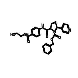 O=C(NCCO)c1ccc(NC(=O)C2CSC(c3ccncc3)N2C(=O)OCc2ccccc2)cc1